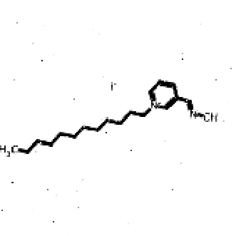 CCCCCCCCCCCC[n+]1cccc(C=NO)c1.[I-]